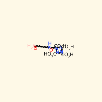 BC(=O)CCCCCCCCCCNC(=O)CCC(C(=O)O)N1CCN(CC(=O)O)CCN(CC(=O)O)CCN(CC(=O)O)CC1